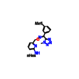 CCCCCCNc1cccc(CON=C(c2cccc(SC)c2)c2nnnn2C)n1